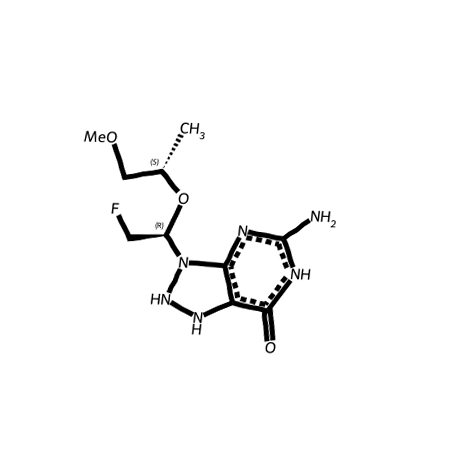 COC[C@H](C)O[C@H](CF)N1NNc2c1nc(N)[nH]c2=O